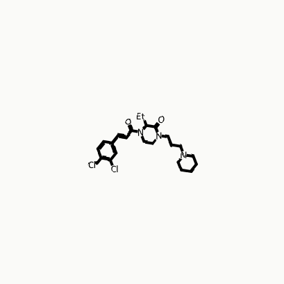 CCC1C(=O)N(CCCN2CCCCC2)CCN1C(=O)C=Cc1ccc(Cl)c(Cl)c1